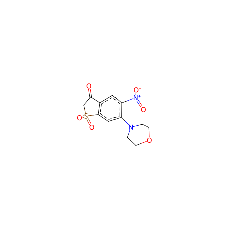 O=C1CS(=O)(=O)c2cc(N3CCOCC3)c([N+](=O)[O-])cc21